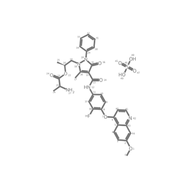 COc1ccc2c(Oc3ccc(NC(=O)c4c(C)n(C[C@H](C)OC(=O)C(C)N)n(-c5ccccc5)c4=O)cc3F)ccnc2c1.O=S(=O)(O)O